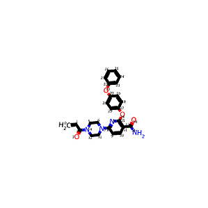 C=CC(=O)N1CCN(c2ccc(C(N)=O)c(Oc3ccc(Oc4ccccc4)cc3)n2)CC1